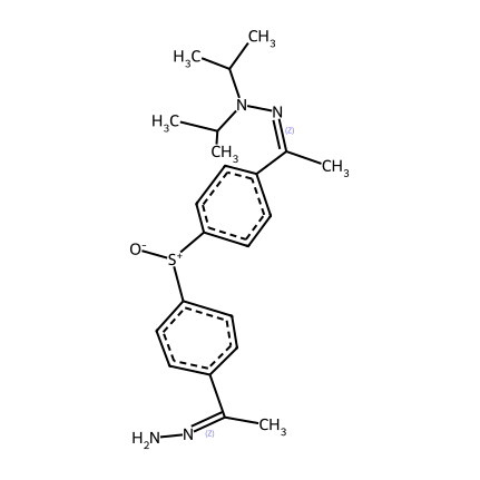 C/C(=N/N)c1ccc([S+]([O-])c2ccc(/C(C)=N\N(C(C)C)C(C)C)cc2)cc1